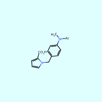 CC(=O)N(C)c1ccc(Cn2cccc2C(=O)O)cc1